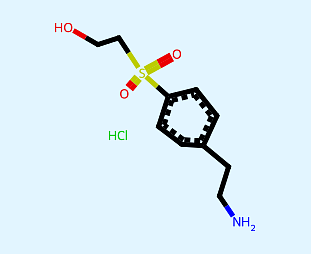 Cl.NCCc1ccc(S(=O)(=O)CCO)cc1